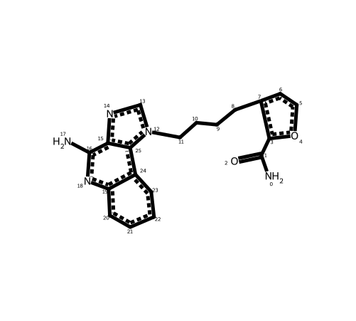 NC(=O)c1occc1CCCCn1cnc2c(N)nc3ccccc3c21